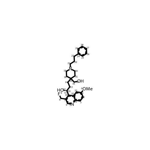 COc1ccc2ncc(CF)c([C@@H](O)CCC3(CO)CCN(CCCc4ccccc4)CC3)c2c1